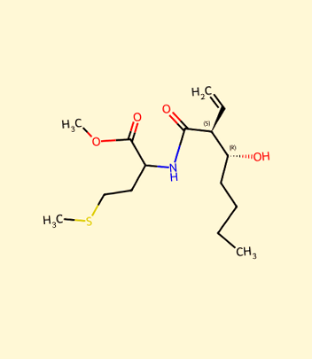 C=C[C@H](C(=O)NC(CCSC)C(=O)OC)[C@H](O)CCCC